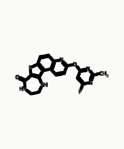 Cc1nc(F)cc(Oc2ccc3c(ccc4sc5c(c43)NCCNC5=O)n2)n1